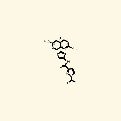 C[C@H]1C[C@H]2CSC(N)=N[C@@]2(c2nc(NC(=O)c3ccn(C(F)F)n3)cs2)CO1